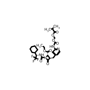 CCOC(=O)[C@@H]1[C@@H](Cc2ccnc(NC(=O)OCOC(=O)C(C)C)c2)C(=O)N1C(=O)N[C@@H](C1CCCCC1)C(F)(F)F